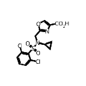 O=C(O)c1coc(CN(C2CC2)S(=O)(=O)c2c(Cl)cccc2Cl)n1